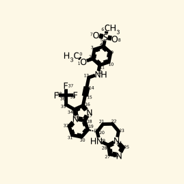 COc1cc(S(C)(=O)=O)ccc1NCC#Cc1nc2c([C@@H]3CCCn4cncc4N3)cccn2c1CC(F)(F)F